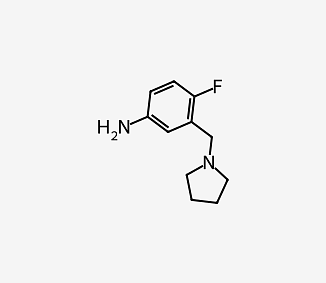 Nc1ccc(F)c(CN2CCCC2)c1